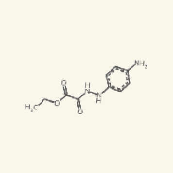 CCOC(=O)C(=O)NNc1ccc(N)cc1